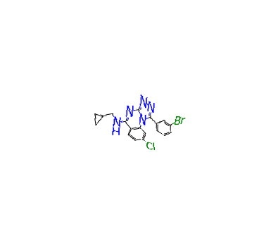 Clc1ccc2c(NCC3CC3)nc3nnc(-c4cccc(Br)c4)n3c2c1